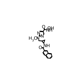 CN(CC1CC1NC(=O)c1ccc2ccccc2c1)c1ncc(C(=O)NO)cn1